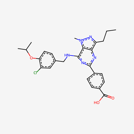 CCCc1nn(C)c2c(NCc3ccc(OC(C)C)c(Cl)c3)nc(-c3ccc(C(=O)O)cc3)nc12